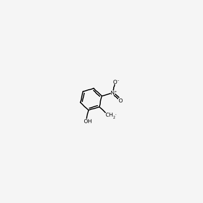 [CH2]c1c(O)cccc1[N+](=O)[O-]